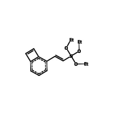 CCO[Si](/C=C/c1cccc2c1C=C2)(OCC)OCC